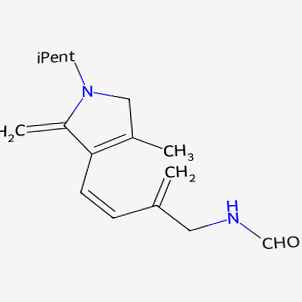 C=C(/C=C\C1=C(C)CN(C(C)CCC)C1=C)CNC=O